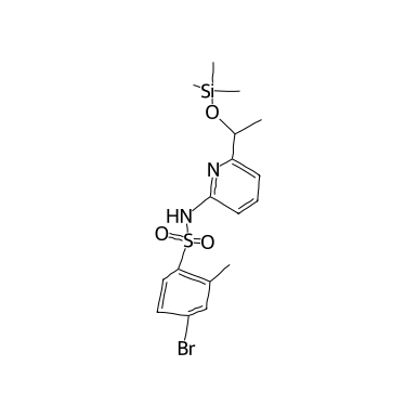 Cc1cc(Br)ccc1S(=O)(=O)Nc1cccc(C(C)O[Si](C)(C)C)n1